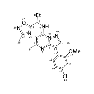 CCC(Nc1cc(C)nc2c(-c3ccc(Cl)cc3OC)c(C)nn12)c1nc(C)no1